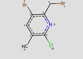 N#Cc1cc(Br)c(CBr)nc1Cl